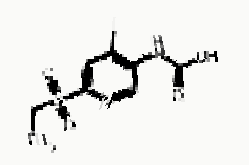 CCS(=O)(=O)c1cc(I)c(NC(=O)O)cn1